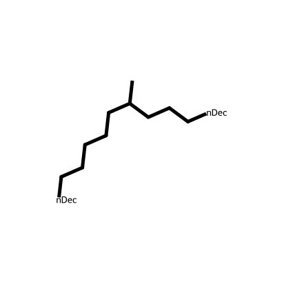 [CH2]CCCCCCCCCCCCCCC(C)CCCCCCCCCCCC[CH2]